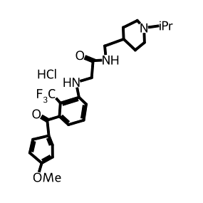 COc1ccc(C(=O)c2cccc(NCC(=O)NCC3CCN(C(C)C)CC3)c2C(F)(F)F)cc1.Cl